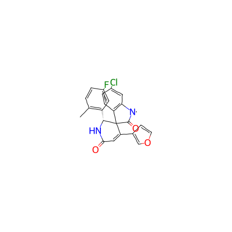 Cc1ccc(F)cc1[C@H]1NC(=O)C=C(c2ccoc2)C12C(=O)[N]c1cc(Cl)ccc12